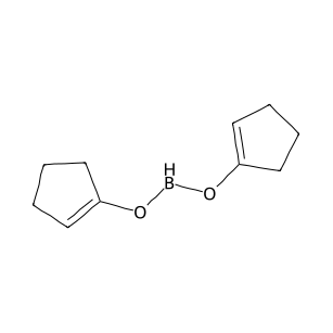 B(OC1=CCCC1)OC1=CCCC1